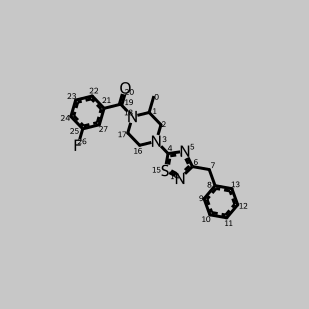 CC1CN(c2nc(Cc3ccccc3)ns2)CCN1C(=O)c1cccc(F)c1